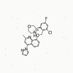 Cc1cc(-n2cccn2)c2cccc(OCc3c(Cl)cc(F)cc3[C@@H]3COCCN3)c2n1